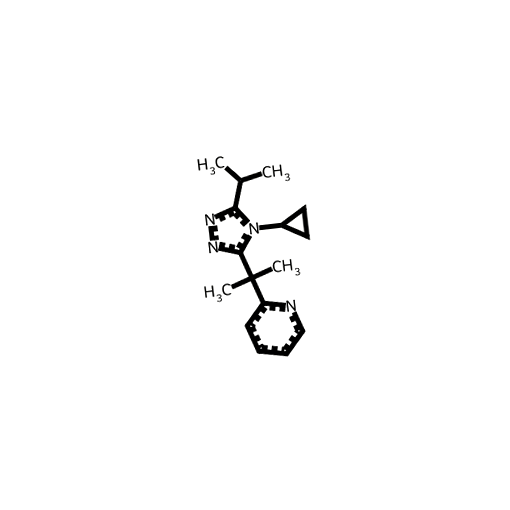 CC(C)c1nnc(C(C)(C)c2ccccn2)n1C1CC1